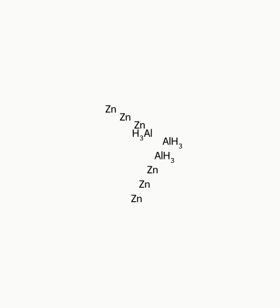 [AlH3].[AlH3].[AlH3].[Zn].[Zn].[Zn].[Zn].[Zn].[Zn]